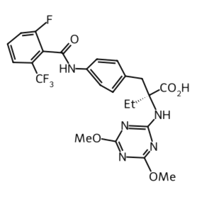 CC[C@@](Cc1ccc(NC(=O)c2c(F)cccc2C(F)(F)F)cc1)(Nc1nc(OC)nc(OC)n1)C(=O)O